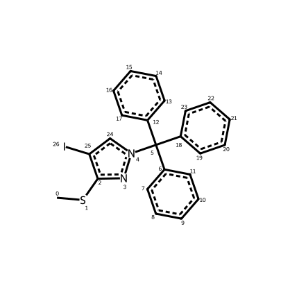 CSc1nn(C(c2ccccc2)(c2ccccc2)c2ccccc2)cc1I